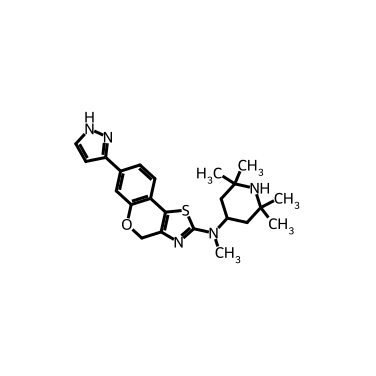 CN(c1nc2c(s1)-c1ccc(-c3cc[nH]n3)cc1OC2)C1CC(C)(C)NC(C)(C)C1